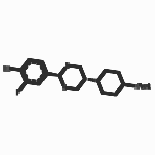 CCCCCC1CCC([C@H]2CS[C@H](c3ccc(CC)c(F)c3)SC2)CC1